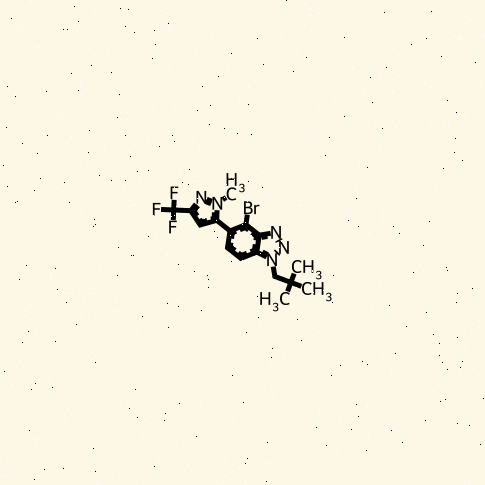 Cn1nc(C(F)(F)F)cc1-c1ccc2c(nnn2CC(C)(C)C)c1Br